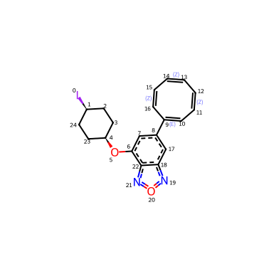 I[C@H]1CC[C@@H](Oc2cc(C3=C/C=C\C=C/C=C\3)cc3nonc23)CC1